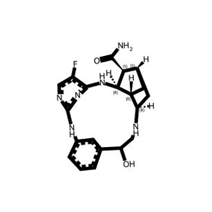 NC(=O)[C@H]1[C@H]2C[C@H]3[C@H]1Nc1nc(ncc1F)Nc1cccc(c1)C(O)CN[C@@H]3C2